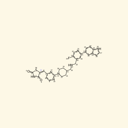 O=C1NC(=O)/C(=C\c2ccnc(N3CCC(CNCc4cc(-c5ccc6[nH]ccc6c5)ncc4F)CC3)n2)S1